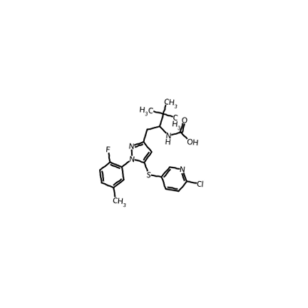 Cc1ccc(F)c(-n2nc(CC(NC(=O)O)C(C)(C)C)cc2Sc2ccc(Cl)nc2)c1